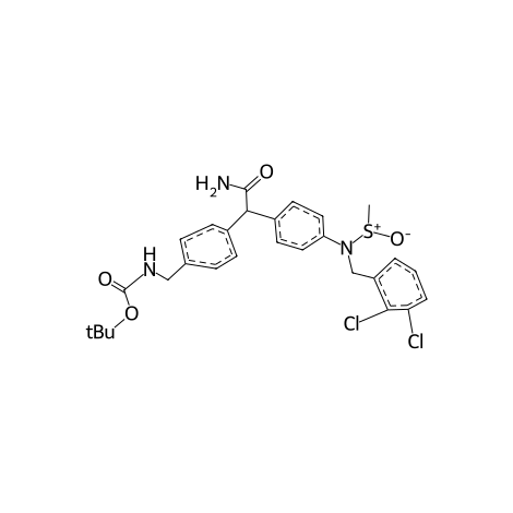 C[S+]([O-])N(Cc1cccc(Cl)c1Cl)c1ccc(C(C(N)=O)c2ccc(CNC(=O)OC(C)(C)C)cc2)cc1